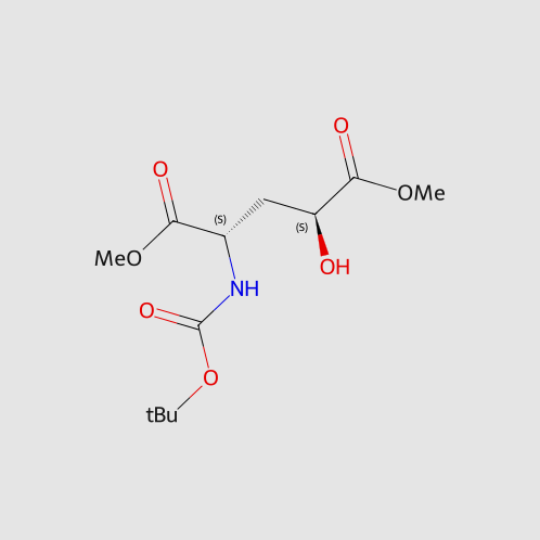 COC(=O)[C@H](C[C@H](O)C(=O)OC)NC(=O)OC(C)(C)C